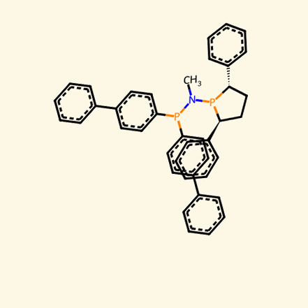 CN(P(c1ccc(-c2ccccc2)cc1)c1ccc(-c2ccccc2)cc1)P1[C@H](c2ccccc2)CC[C@H]1c1ccccc1